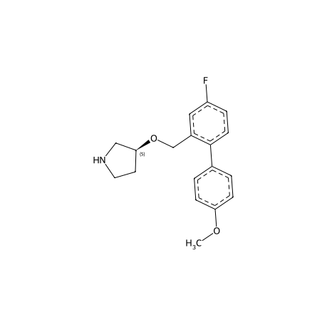 COc1ccc(-c2ccc(F)cc2CO[C@H]2CCNC2)cc1